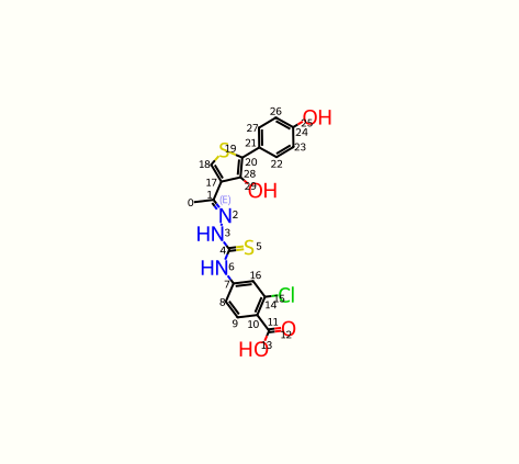 C/C(=N\NC(=S)Nc1ccc(C(=O)O)c(Cl)c1)c1csc(-c2ccc(O)cc2)c1O